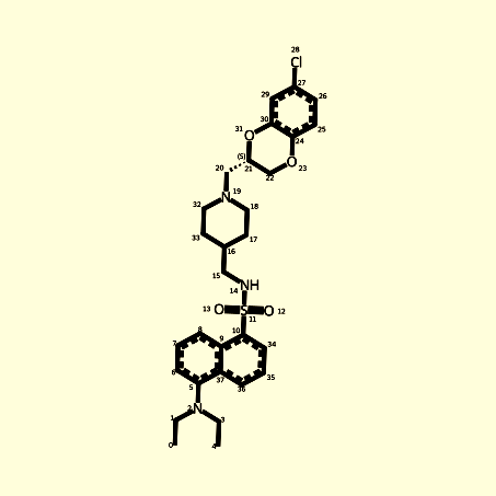 CCN(CC)c1cccc2c(S(=O)(=O)NCC3CCN(C[C@H]4COc5ccc(Cl)cc5O4)CC3)cccc12